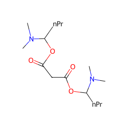 CCCC(OC(=O)CC(=O)OC(CCC)N(C)C)N(C)C